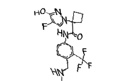 CNCc1ccc(NC(=O)C2(n3cc(F)c(O)n3)CCC2)cc1C(F)(F)F